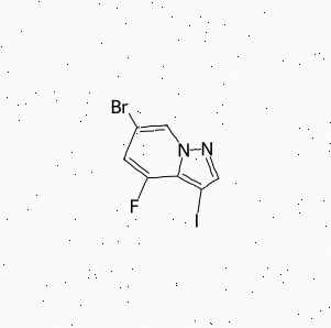 Fc1cc(Br)cn2ncc(I)c12